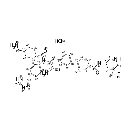 Cc1cc(C(=O)NC2CNCC(F)(F)C2)ncc1-c1ccc(C[C@@H](C(N)=O)N(c2ccc(-c3nnn[nH]3)cc2)C(=O)[C@H]2CC[C@H](CN)CC2)cc1.Cl